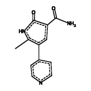 Cc1[nH]c(=O)c(C(N)=O)cc1-c1ccncc1